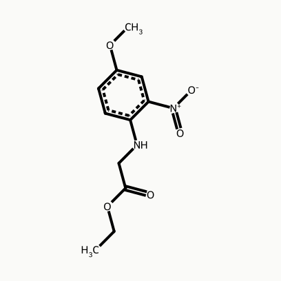 CCOC(=O)CNc1ccc(OC)cc1[N+](=O)[O-]